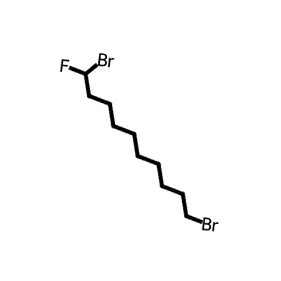 FC(Br)CCCCCCCCCBr